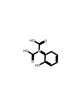 O=C(O)[N+](C(=O)O)=C1CC=CC=C1O